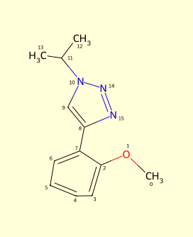 COc1ccccc1-c1cn(C(C)C)nn1